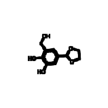 OCc1cc(C2OCCO2)cc(O)c1O